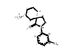 N[C@@H]1CCC[C@@]2(CCN(c3cccc(Cl)c3)C2=O)C1